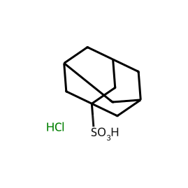 Cl.O=S(=O)(O)C12CC3CC(CC(C3)C1)C2